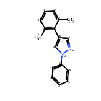 Cc1cccc(C)c1-c1cnn(-c2ccccc2)c1